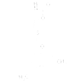 CCc1ccc(OCSCc2c[nH]c(=O)o2)c(CC)c1